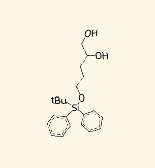 CC(C)(C)[Si](OCCCC(O)CO)(c1ccccc1)c1ccccc1